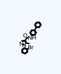 Cc1c(C(=O)Nc2ccc(-c3ccccc3)cc2)cnn1-c1ccccc1Br